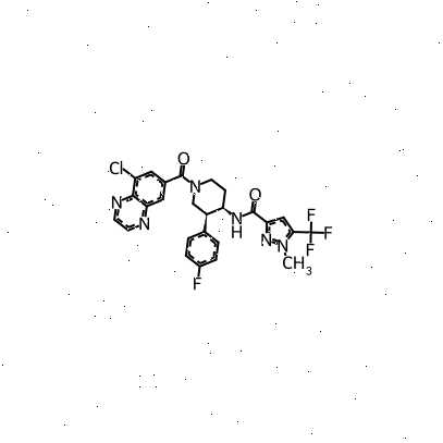 Cn1nc(C(=O)N[C@@H]2CCN(C(=O)c3cc(Cl)c4nccnc4c3)C[C@@H]2c2ccc(F)cc2)cc1C(F)(F)F